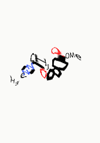 COC(=O)C1CCC2(CCc3ccc(OCC(C)N4CCN(C)CC4)cc32)CC1